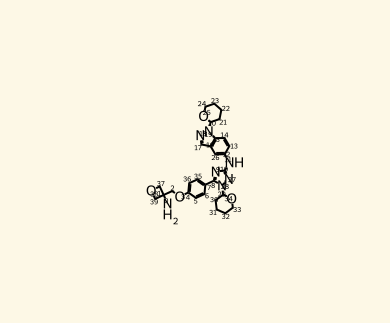 NC1(COc2ccc(-c3nc(Nc4ccc5c(cnn5C5CCCCO5)c4)nn3C3CCCCO3)cc2)COC1